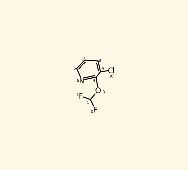 FC(F)Oc1nc[c]cc1Cl